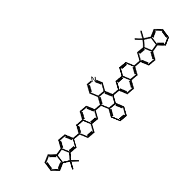 CC1(C)c2ccccc2-c2ccc(-c3ccc4cc(-c5c6ccccc6c(-c6ccc7cc(-c8ccc9c(c8)C(C)(C)c8ccccc8-9)ccc7c6)c6cnccc56)ccc4c3)cc21